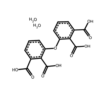 O.O.O=C(O)c1cccc(Oc2cccc(C(=O)O)c2C(=O)O)c1C(=O)O